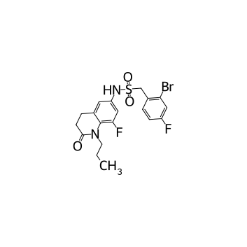 CCCN1C(=O)CCc2cc(NS(=O)(=O)Cc3ccc(F)cc3Br)cc(F)c21